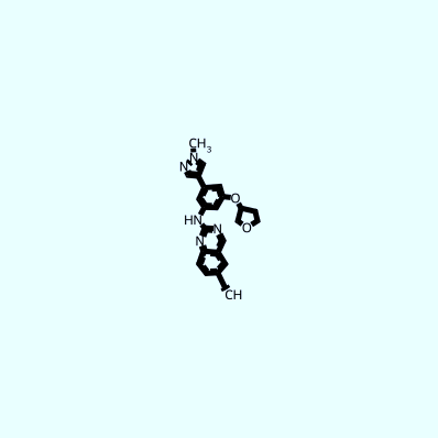 C#Cc1ccc2nc(Nc3cc(OC4CCOC4)cc(-c4cnn(C)c4)c3)ncc2c1